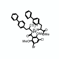 COC(=O)C(N)Cc1ccc(-c2ccccc2)cc1.COc1c(Cl)cc(Br)c(OC)c1C(=O)NC(Cc1ccc(-c2ccccc2)cc1)C(=O)O